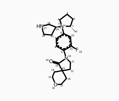 C[C@H]1CCC[N+]1(c1ccc(N2CCC3(CCOCC3)C2=O)c(F)c1)[C@H]1CCNC1